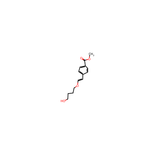 COC(=O)c1ccc(C=COCCCCO)cc1